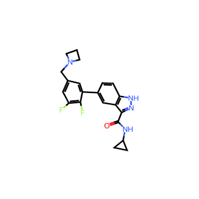 O=C(NC1CC1)c1n[nH]c2ccc(-c3cc(CN4CCC4)cc(F)c3F)cc12